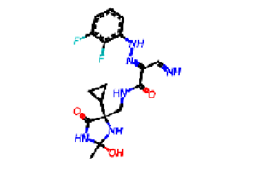 CC1(O)NC(=O)[C@](CNC(=O)/C(C=N)=N/Nc2cccc(F)c2F)(C2CC2)N1